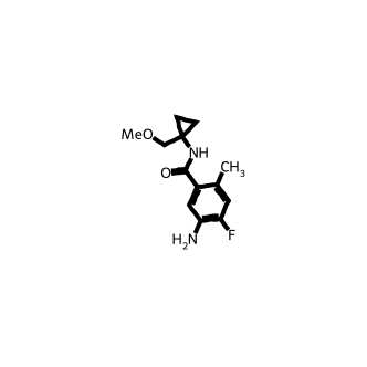 COCC1(NC(=O)c2cc(N)c(F)cc2C)CC1